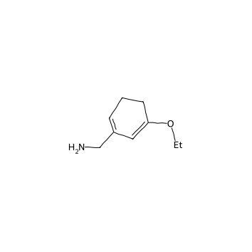 CCOC1=CC(CN)=CCC1